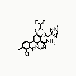 C[C@@H](Oc1cc(-c2ccc(F)c(Cl)c2F)c2ncnc(N)c2c1OCc1ncn(C)n1)C(F)F